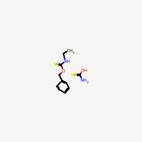 CCNC(=S)OCc1ccccc1.NC(O)=S